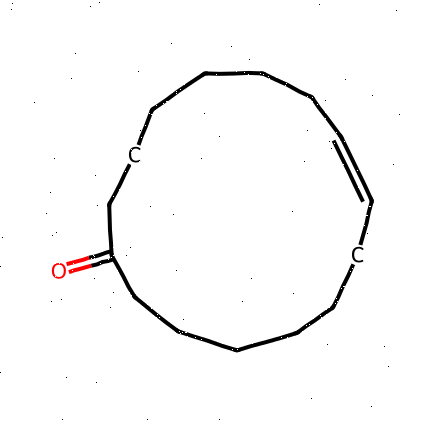 O=C1CCCCCCC=CCCCCCC1